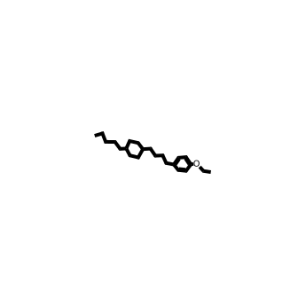 CCCCCC1CCC(CCCCc2ccc(OCC)cc2)CC1